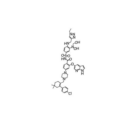 CCn1cc(CNc2ccc(S(=O)(=O)NC(=O)c3ccc(N4CCN(CC5=C(c6ccc(Cl)cc6)CC(C)(C)CC5)CC4)cc3Oc3cnc4[nH]ccc4c3)cc2N(O)CO)nn1